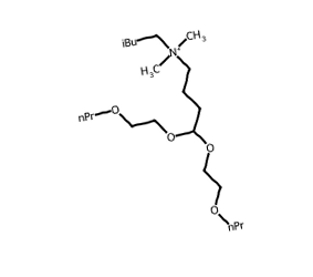 CCCOCCOC(CCC[N+](C)(C)CC(C)CC)OCCOCCC